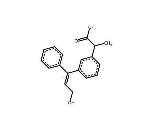 CC(C(=O)O)c1cccc(/C(=C\CO)c2ccccc2)c1